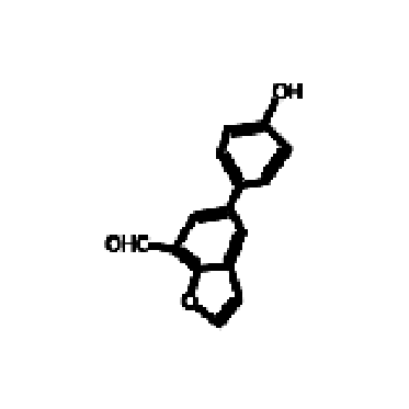 O=Cc1cc(-c2ccc(O)cc2)cc2ccoc12